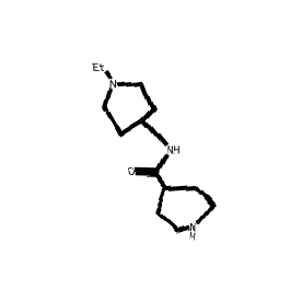 CCN1CCC(NC(=O)C2CCNCC2)CC1